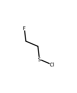 FCCSCl